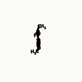 CCCCC1CCc2c(cc(F)c(C#Cc3ccc(N=Nc4ccc(OCCC)cc4)cc3)c2F)C1